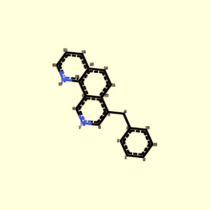 c1ccc(Cc2cncc3c2ccc2cccnc23)cc1